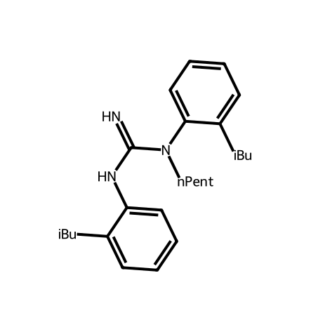 CCCCCN(C(=N)Nc1ccccc1C(C)CC)c1ccccc1C(C)CC